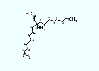 CC=CC(N)(CCCCCCCC)CCCCCCCC